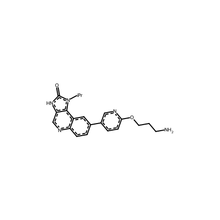 CC(C)n1c(=O)[nH]c2cnc3ccc(-c4ccc(OCCCN)nc4)cc3c21